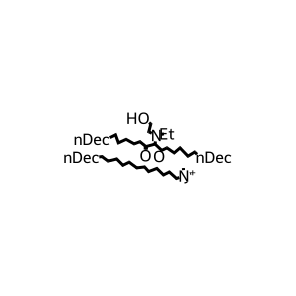 CCCCCCCCCCCCCCCC(=O)C(C(=O)CCCCCCCCCCCCCCC)N(CC)CCO.CCCCCCCCCCCCCCCCCCCCCC[N+](C)(C)C